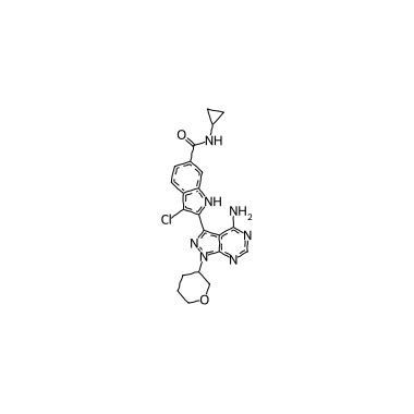 Nc1ncnc2c1c(-c1[nH]c3cc(C(=O)NC4CC4)ccc3c1Cl)nn2C1CCCOC1